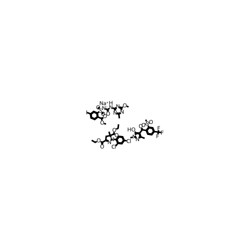 CCOC(=O)C1=NN(c2ccc(Cl)cc2Cl)C(C)(C(=O)OCC)C1.COC(=O)c1ccc(I)cc1S(=O)(=O)[N-]C(=O)Nc1nc(C)nc(OC)n1.Cc1nn(C)c(O)c1C(=O)c1ccc(C(F)(F)F)cc1S(C)(=O)=O.[Na+]